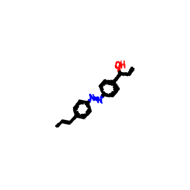 CC=Cc1ccc(N=Nc2ccc(C(O)CC)cc2)cc1